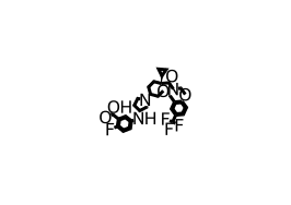 O=C(O)c1cc(N[C@@H]2CCN([C@@H]3CC[C@@](C(=O)N4COc5ccc(C(F)(F)F)cc5C4)(C4CC4)OC3)C2)ccc1F